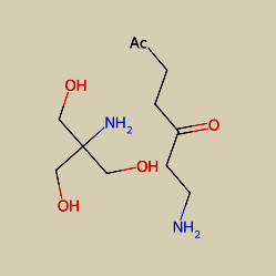 CC(=O)CCC(=O)CCN.NC(CO)(CO)CO